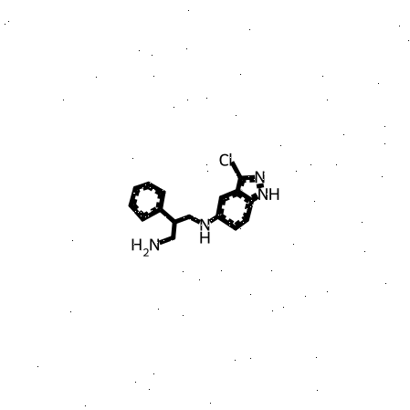 NCC(CNc1ccc2[nH]nc(Cl)c2c1)c1ccccc1